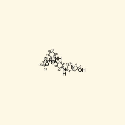 CC(C)(O)CN1CCC(Nc2ccc(C(=O)Nc3ccccc3NC(=O)OC(C)(C)C)cc2)CC1